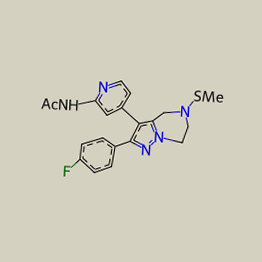 CSN1CCn2nc(-c3ccc(F)cc3)c(-c3ccnc(NC(C)=O)c3)c2C1